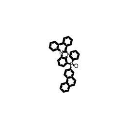 O=P(c1ccccc1)(c1ccc2c(ccc3ccccc32)c1)c1cccc2c1nc1c3ccccc3c3ccccc3n21